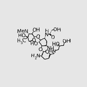 CN[C@@H]1[C@@H](O)[C@@H](O[C@@H]2[C@@H](O)[C@H](O[C@H]3OC(CNCC(O)CO)=CC[C@H]3N)[C@@H](N)C[C@H]2NC(=O)CO)OC[C@]1(C)O